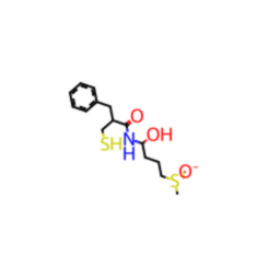 C[S+]([O-])CCCC(O)NC(=O)C(CS)Cc1ccccc1